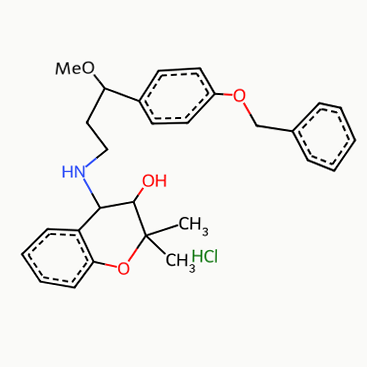 COC(CCNC1c2ccccc2OC(C)(C)C1O)c1ccc(OCc2ccccc2)cc1.Cl